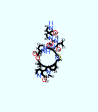 CCn1c(-c2cccnc2[C@H](C)OC)c2c3cc(ccc31)-c1csc(n1)C[C@H](NC(=O)C(C(C)C)N(C)C(=O)N1CC[C@]3(CCNC3=O)C1)C(=O)N1CCC[C@H](N1)C(=O)OCC(C)(C)C2